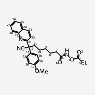 CCC(=O)ONC(=O)CCCCCC(C#N)(c1ccc(OC)cc1)c1ccc2ccccc2n1